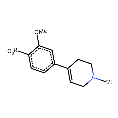 COc1cc(C2=CCN(C(C)C)CC2)ccc1[N+](=O)[O-]